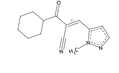 Cn1nccc1/C=C(\C#N)C(=O)C1CCCCC1